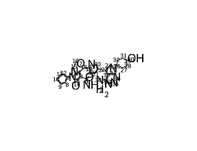 NC(=O)c1c2n(n(-c3ccccc3)c1=O)CCOC2c1ccc(-c2cn(C3CCC(O)CC3)c3nnnc(N)c23)cn1